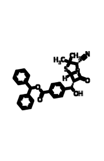 CC1(C)S[C@H]2[C@@H](C(O)c3ccc(C(=O)OC(c4ccccc4)c4ccccc4)cc3)C(=O)N2[C@H]1C#N